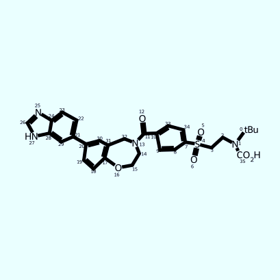 CC(C)(C)N(CCS(=O)(=O)c1ccc(C(=O)N2CCOc3ccc(-c4ccc5nc[nH]c5c4)cc3C2)cc1)C(=O)O